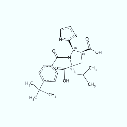 CC(C)C[C@@]1(C(=O)O)C[C@H](C(=O)O)[C@H](c2nccs2)N1C(=O)c1ccc(C(C)(C)C)cc1